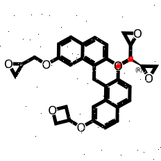 c1cc2ccc(OC[C@H]3CO3)c(Cc3c(OCC4CO4)ccc4ccc(OC5COC5)cc34)c2cc1OCC1CO1